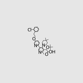 Cc1ncc(-c2ccc(OCCc3ccccc3Cl)cn2)c(N2CCC(C)(C)CC2)c1[C@H](OC(C)(C)C)C(=O)O